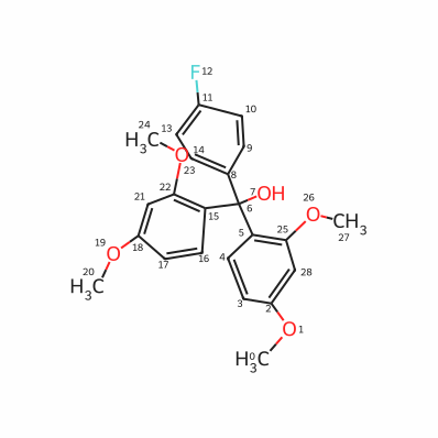 COc1ccc(C(O)(c2ccc(F)cc2)c2ccc(OC)cc2OC)c(OC)c1